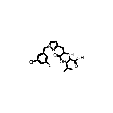 CC(C)CC(NC(Cc1ccn(Cc2cc(Cl)cc(Cl)c2)n1)C(=O)O)C(=O)O